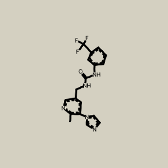 Cc1ncc(CNC(=O)Nc2cccc(C(F)(F)F)c2)cc1-n1ccnc1